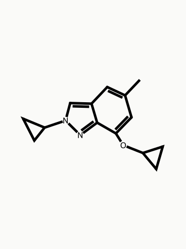 Cc1cc(OC2CC2)c2nn(C3CC3)cc2c1